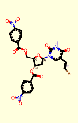 O=C(OC[C@H]1O[C@@H](n2cc(/C=C/Br)c(=O)[nH]c2=O)C[C@@H]1OC(=O)c1ccc([N+](=O)[O-])cc1)c1ccc([N+](=O)[O-])cc1